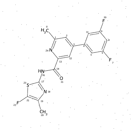 Cc1cc(-c2cc(F)cc(F)c2)cc(C(=O)Nc2nc(C)c(F)s2)n1